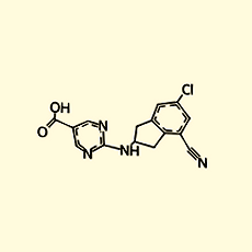 N#Cc1cc(Cl)cc2c1CC(Nc1ncc(C(=O)O)cn1)C2